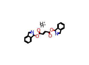 O=C(/C=C/C(=O)OC1N=Cc2ccccc21)OC1N=Cc2ccccc21.[H+].[H+]